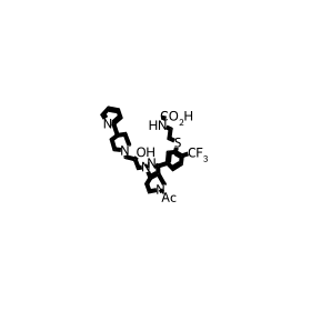 CC(=O)N1CCc2c(c(-c3ccc(C(F)(F)F)c(SCCNC(=O)O)c3)nn2CC(O)CN2CCC(c3ccccn3)CC2)C1